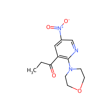 CCC(=O)c1cc([N+](=O)[O-])cnc1N1CCOCC1